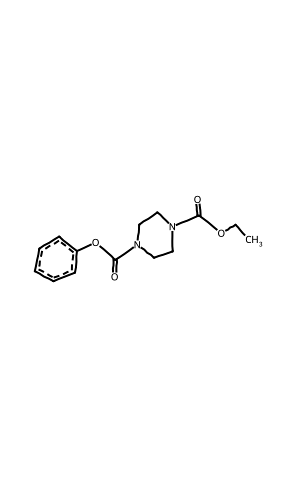 CCOC(=O)N1CCN(C(=O)Oc2ccccc2)CC1